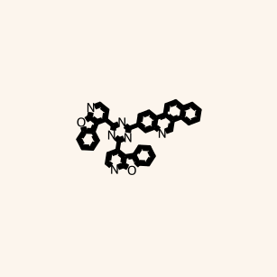 c1ccc2c(c1)ccc1c3ccc(-c4nc(-c5ccnc6oc7ccccc7c56)nc(-c5ccnc6oc7ccccc7c56)n4)cc3ncc21